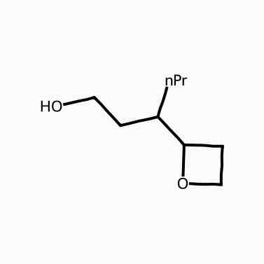 CCCC(CCO)C1CCO1